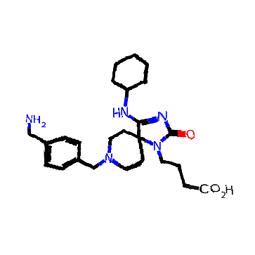 NCc1ccc(CN2CCC3(CC2)C(NC2CCCCC2)=NC(=O)N3CCCC(=O)O)cc1